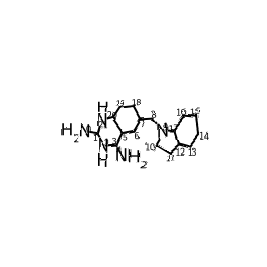 NC1NC(N)C2CC(CN3CCC4CCCCC43)CCC2N1